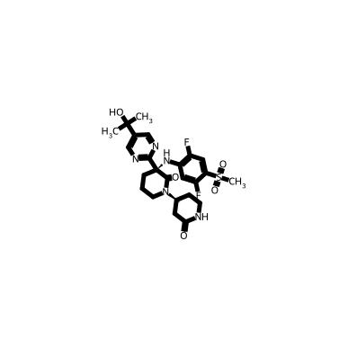 CC(C)(O)c1cnc([C@]2(Nc3cc(F)c(S(C)(=O)=O)cc3F)CCCN([C@H]3CCNC(=O)C3)C2=O)nc1